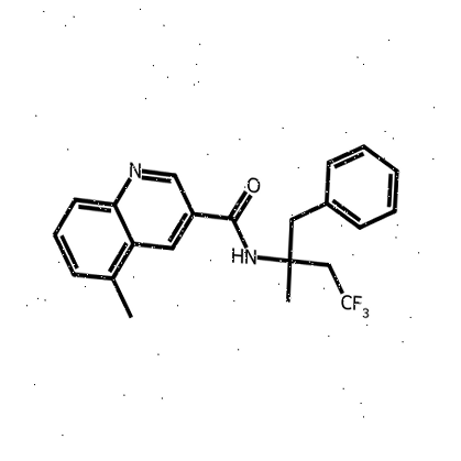 Cc1cccc2ncc(C(=O)NC(C)(Cc3ccccc3)CC(F)(F)F)cc12